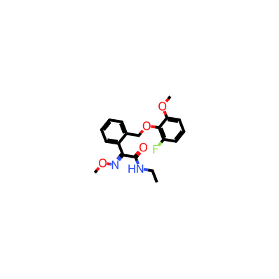 CCNC(=O)/C(=N/OC)c1ccccc1COc1c(F)cccc1OC